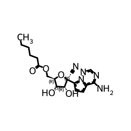 CCCCCC(=O)OC[C@H]1O[C@@](C#N)(c2ccc3c(N)ncnn23)[C@H](O)[C@@H]1O